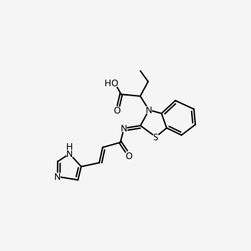 CCC(C(=O)O)n1/c(=N/C(=O)/C=C/c2cnc[nH]2)sc2ccccc21